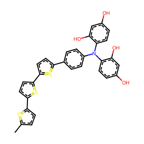 Cc1ccc(-c2ccc(-c3ccc(-c4ccc(N(c5ccc(O)cc5O)c5ccc(O)cc5O)cc4)s3)s2)s1